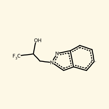 OC(Cn1cc2c[c]ccc2n1)C(F)(F)F